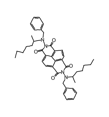 CCCCCC(C)N(Cc1ccccc1)N1C(=O)c2ccc3c4c(ccc(c24)C1=O)C(=O)N(N(Cc1ccccc1)C(C)CCCCC)C3=O